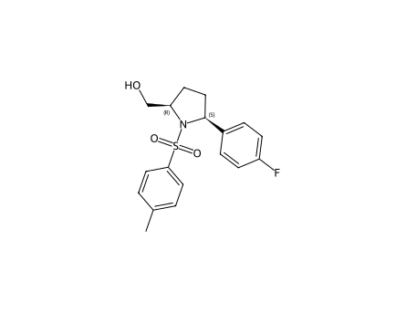 Cc1ccc(S(=O)(=O)N2[C@@H](CO)CC[C@H]2c2ccc(F)cc2)cc1